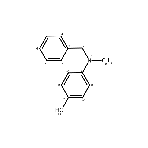 CN(Cc1ccccc1)c1ccc(O)cc1